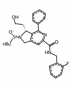 CCCC[S+]([O-])N1Cc2cc(C(=O)NCc3ccccc3F)nc(-c3ccccc3)c2[C@H]1CCO